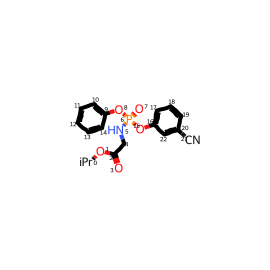 CC(C)OC(=O)CNP(=O)(Oc1ccccc1)Oc1cccc(C#N)c1